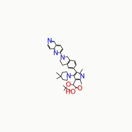 Cc1nc(C)c([C@H](OC(C)(C)C)C(=O)O)c(N2CCC(C)(C)CC2)c1-c1ccc2c(c1)CCN(c1ccc3cnccc3n1)C2